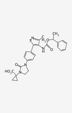 Cc1nsc(-c2ccc(N3CCN(C4(C(=O)O)CC4)C3=O)cc2)c1NC(=O)OC(C)c1ccccc1